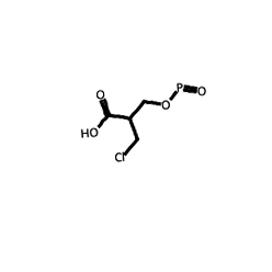 O=POCC(CCl)C(=O)O